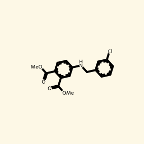 COC(=O)c1ccc(NCc2cccc(Cl)c2)cc1C(=O)OC